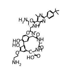 Cc1nc(-c2ccc(C(C)(C)C)cc2)nc(C)c1C(=O)N[C@@H](CCN)C(=O)N(C)[C@@H]1C(=O)N[C@@H](C)C(=O)N[C@H](C(=O)O)Cc2cc(OCCN)c(O)c(c2)-c2cc1ccc2O